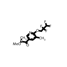 CON(C)C(=O)c1cnc(OCC(F)(F)C(F)F)c(C)c1